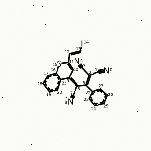 N#CC(C#N)=C(/C(C#N)=C1C=C(/C=C/I)Sc2ccccc2\1)c1ccccc1